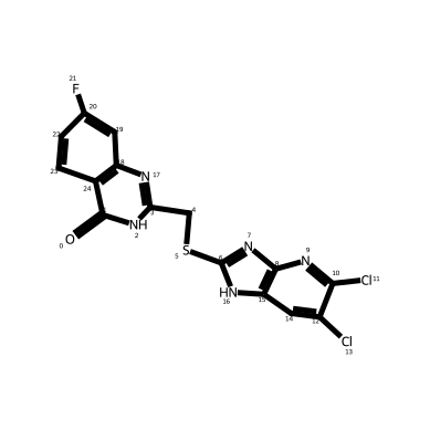 O=c1[nH]c(CSc2nc3nc(Cl)c(Cl)cc3[nH]2)nc2cc(F)ccc12